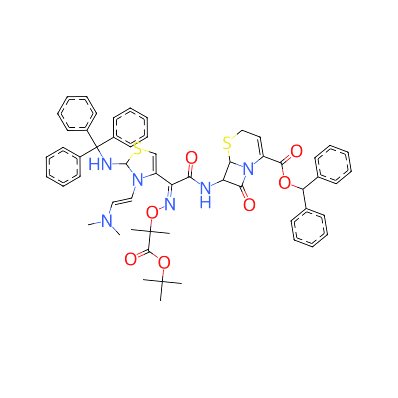 CN(C)C=CN1C(C(=NOC(C)(C)C(=O)OC(C)(C)C)C(=O)NC2C(=O)N3C(C(=O)OC(c4ccccc4)c4ccccc4)=CCSC23)=CSC1NC(c1ccccc1)(c1ccccc1)c1ccccc1